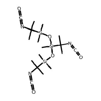 CC(C)(N=C=O)[Si](C)(C)O[Si](C)(O[Si](C)(C)C(C)(C)N=C=O)C(C)(C)N=C=O